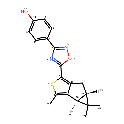 Cc1sc(-c2nc(-c3ccc(O)cc3)no2)c2c1[C@H]1[C@@H](C2)C1(C)C